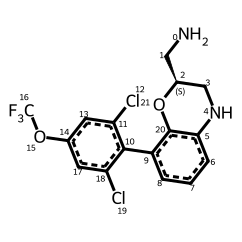 NC[C@H]1CNc2cccc(-c3c(Cl)cc(OC(F)(F)F)cc3Cl)c2O1